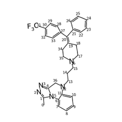 Cc1nnc2n1-c1ccccc1N(CCCN1CCC(=C(c3ccccc3)c3ccc(C(F)(F)F)cc3)CC1)C2